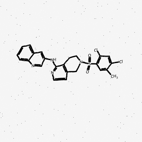 Cc1cc(S(=O)(=O)N2CCc3c(ccnc3Nc3cnc4ccccc4c3)C2)c(Cl)cc1Cl